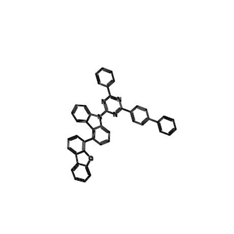 c1ccc(-c2ccc(-c3nc(-c4ccccc4)nc(-n4c5ccccc5c5c(-c6cccc7c6oc6ccccc67)cccc54)n3)cc2)cc1